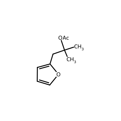 CC(=O)OC(C)(C)Cc1ccco1